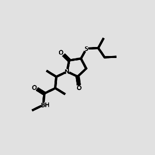 CBC(=O)C(C)C(C)N1C(=O)CC(SC(C)CC)C1=O